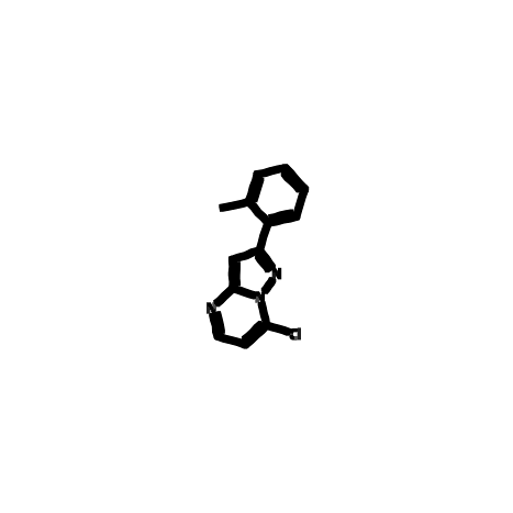 Cc1ccccc1-c1cc2nccc(Cl)n2n1